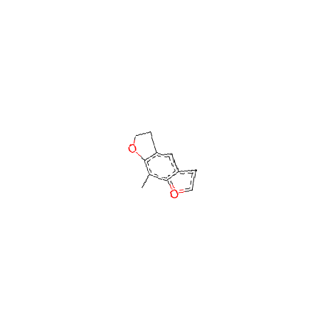 Cc1c2c(cc3ccoc13)CCO2